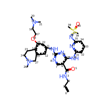 C=CCNC(=O)c1cnc(Nc2cc3c(c(OCCN(C)C)c2)CCN(C)C3)nc1Nc1cccc(N=S(C)(C)=O)n1